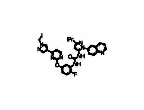 CC(C)c1cc(NC(=O)Nc2cc(Oc3nccc(-c4cnn(CI)c4)n3)ccc2F)n(-c2ccc3ncccc3c2)n1